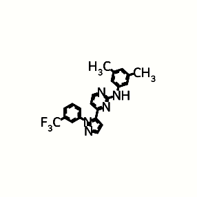 Cc1cc(C)cc(Nc2nccc(-c3ccnn3-c3cccc(C(F)(F)F)c3)n2)c1